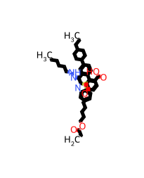 C=CC(=O)OCCCCCCOc1ccc(C(=O)O)c(-c2ccc(C3CCC(CCC)CC3)cc2C(=NNCCCCCC)c2nc3ccccc3s2)c1